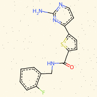 Nc1nccc(-c2ccc(C(=O)NCc3ccccc3F)s2)n1